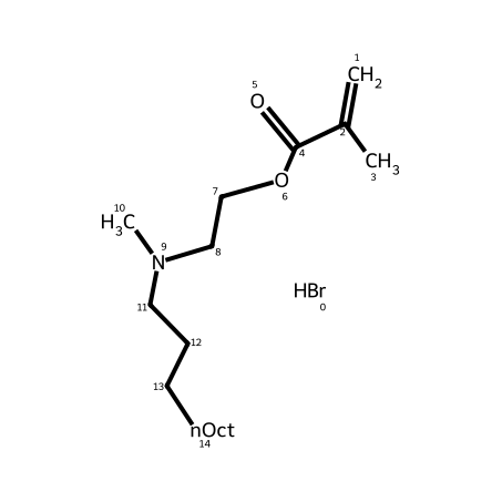 Br.C=C(C)C(=O)OCCN(C)CCCCCCCCCCC